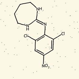 O=[N+]([O-])c1cc(Cl)c(N=C2NCCCCN2)c(Cl)c1